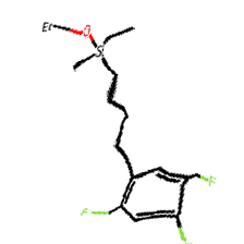 CCO[Si](C)(C)CCCCc1cc(F)c(F)cc1F